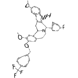 COc1ccc2[nH]c3c(c2c1)CC1c2cc(OC)c(OCc4ccc(C(F)(F)F)cc4)cc2CCN1C3c1ccc(F)cc1